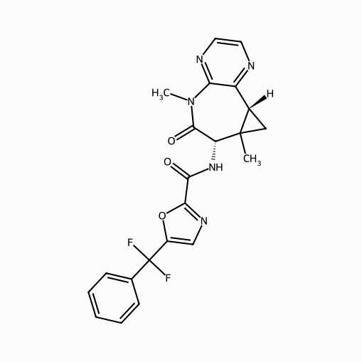 CN1C(=O)[C@@H](NC(=O)c2ncc(C(F)(F)c3ccccc3)o2)C2(C)C[C@H]2c2nccnc21